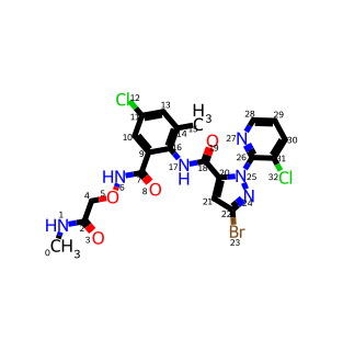 CNC(=O)CONC(=O)c1cc(Cl)cc(C)c1NC(=O)c1cc(Br)nn1-c1ncccc1Cl